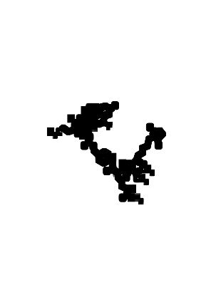 CCCC1O[C@@H]2CC3[C@@H]4C[C@H](F)C5=CC(=O)C=C[C@]5(C)[C@@]4(F)[C@@H](O)C[C@]3(C)[C@]2(C(=O)COC(=O)OCc2ccc(NC(=O)[C@H](CCCNC(N)=O)NC(=O)[C@@H](NC(=O)CCCCCN3C(=O)C=CC3=O)C(C)C)cc2)O1